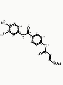 CCCCCCCCC=CC(=O)Oc1ccc(C(=O)Oc2ccc(C#N)c(F)c2)cc1